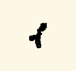 C/C(=C\N=C(/N(C)C=O)N1CCC2(CCCC2)CC1)Sc1ccn2nccc2c1